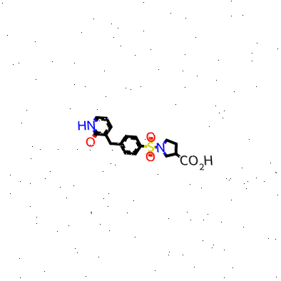 O=C(O)C1CCN(S(=O)(=O)c2ccc(Cc3ccc[nH]c3=O)cc2)C1